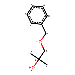 CC(C)(O)COCc1ccccc1